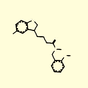 COc1ccccc1CN(C)C(=O)CCCC1CNc2ccc(F)cc21